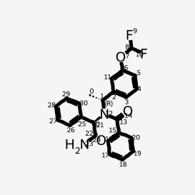 C[C@H](c1cccc(OC(F)F)c1)N(C(=O)c1ccccc1)[C@@H](C(N)=O)c1ccccc1